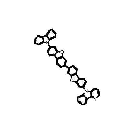 c1ccc2c(c1)c1ccccc1n2-c1ccc2c(c1)oc1cc(-c3ccc4c(c3)oc3cc(-n5c6ccccc6c6ncccc65)ccc34)ccc12